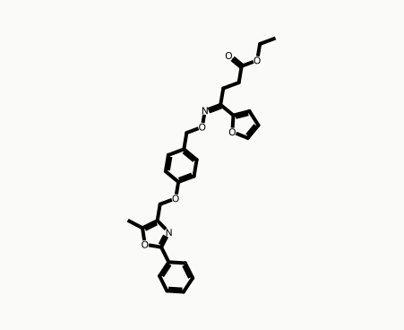 CCOC(=O)CC/C(=N/OCc1ccc(OCc2nc(-c3ccccc3)oc2C)cc1)c1ccco1